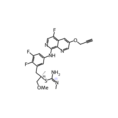 C#CCOc1cnc2c(Nc3cc(F)c(F)c(C[C@](C)(COC)S/C(N)=N\C)c3)ncc(F)c2c1